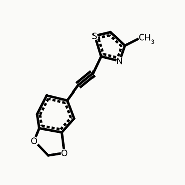 Cc1csc(C#Cc2ccc3c(c2)OCO3)n1